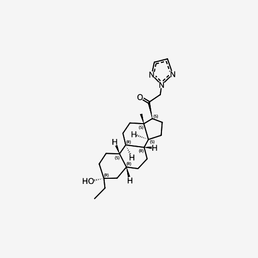 CC[C@@]1(O)CC[C@H]2[C@H](CC[C@@H]3[C@@H]2CC[C@]2(C)[C@@H](C(=O)Cn4nccn4)CC[C@@H]32)C1